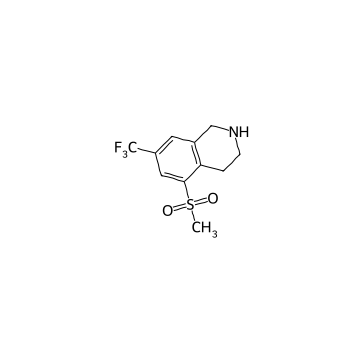 CS(=O)(=O)c1cc(C(F)(F)F)cc2c1CCNC2